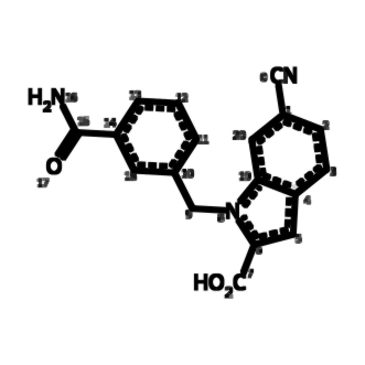 N#Cc1ccc2cc(C(=O)O)n(Cc3cccc(C(N)=O)c3)c2c1